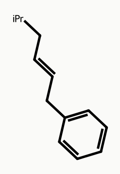 CC(C)CC=CCc1ccccc1